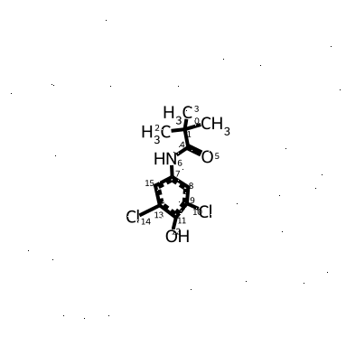 CC(C)(C)C(=O)Nc1cc(Cl)c(O)c(Cl)c1